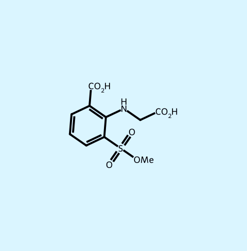 COS(=O)(=O)c1cccc(C(=O)O)c1NCC(=O)O